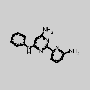 Nc1cccc(-c2nc(N)cc(Nc3ccccc3)n2)n1